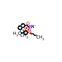 CCCCCOc1ccc(C(C)(C)C)cc1S(=O)(=O)C(=[N+]=[N-])C(=O)c1ccc2ccccc2c1